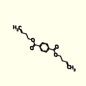 C=CCCOC(=O)c1ccc(C(=O)OCCC=C)cc1